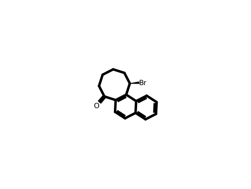 O=C1CCCC[C@@H](Br)c2c1ccc1ccccc21